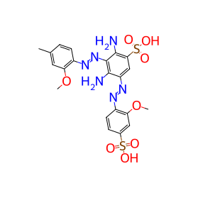 COc1cc(S(=O)(=O)O)ccc1N=Nc1cc(S(=O)(=O)O)c(N)c(N=Nc2ccc(C)cc2OC)c1N